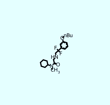 CCCCOc1cccc(C(F)(F)CNCC(=O)N(C)C2CCCCC2)c1